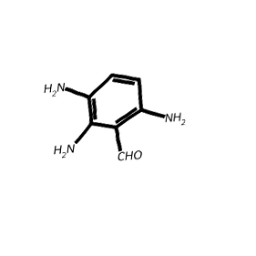 Nc1ccc(N)c(C=O)c1N